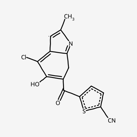 CC1=[C]C2=C(Cl)C(O)=C(C(=O)c3ccc(C#N)s3)CC2=N1